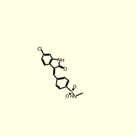 CNS(=O)(=O)c1ccc(C=C2C(=O)Nc3cc(Cl)ccc32)cc1